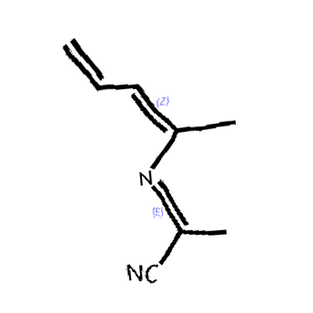 C=C/C=C(C)\N=C(/C)C#N